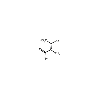 CC(=O)/C(C(=O)O)=C(\C)C(=O)C(C)C